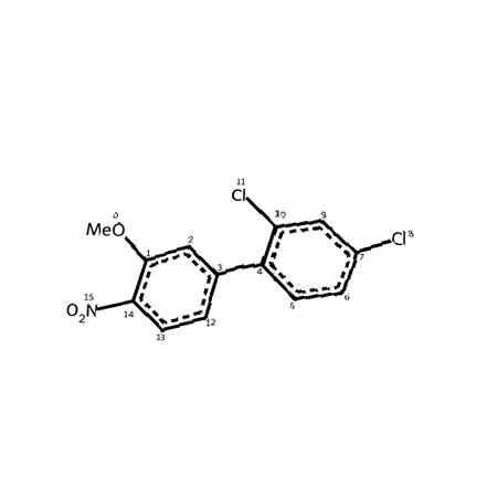 COc1cc(-c2ccc(Cl)cc2Cl)ccc1[N+](=O)[O-]